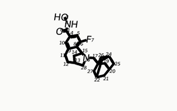 O=C(NO)c1cc(F)c2c(c1)CCC1CC2N(CC23CC4CC(CC(C4)C2)C3)C1